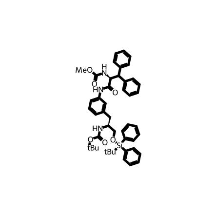 COC(=O)N[C@H](C(=O)Nc1cccc(C[C@@H](CO[Si](c2ccccc2)(c2ccccc2)C(C)(C)C)NC(=O)OC(C)(C)C)c1)C(c1ccccc1)c1ccccc1